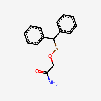 NC(=O)COSC(c1ccccc1)c1ccccc1